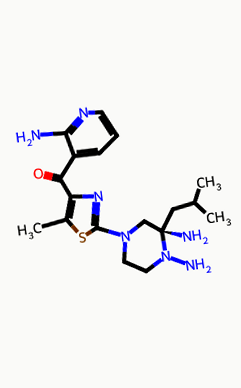 Cc1sc(N2CCN(N)[C@@](N)(CC(C)C)C2)nc1C(=O)c1cccnc1N